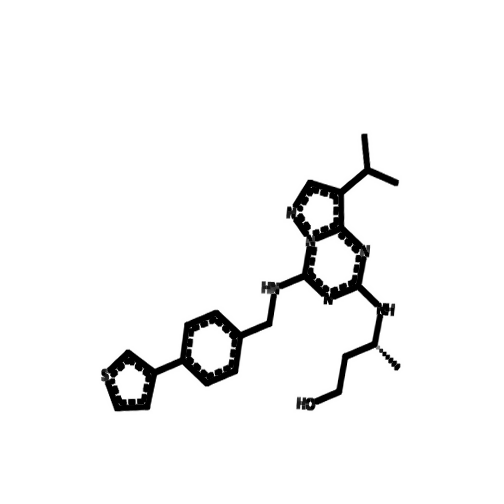 CC(C)c1cnn2c(NCc3ccc(-c4ccsc4)cc3)nc(N[C@H](C)CCO)nc12